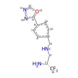 N[C@H](CNCc1ccc(-c2nnco2)cc1)C(F)(F)F